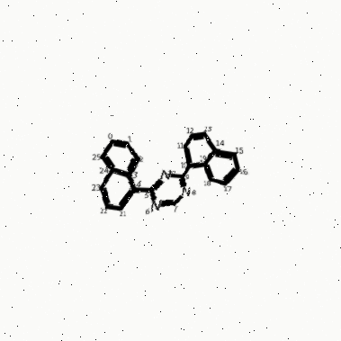 c1ccc2c(-c3ncnc(-c4cccc5ccccc45)n3)cccc2c1